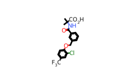 CC(C)(NC(=O)c1cccc(COc2ccc(C(F)(F)F)cc2Cl)c1)C(=O)O